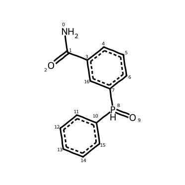 NC(=O)c1cccc([PH](=O)c2ccccc2)c1